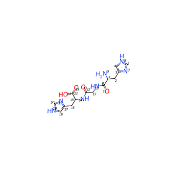 NC(Cc1c[nH]cn1)C(=O)NCC(=O)NC(Cc1c[nH]cn1)C(=O)O